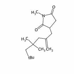 C=C(CC1CC(=O)N(C)C1=O)CC(C)(C)CC(C)(C)C